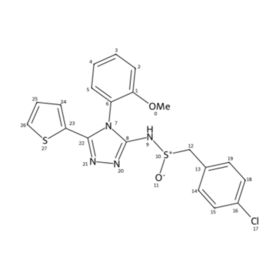 COc1ccccc1-n1c(N[S+]([O-])Cc2ccc(Cl)cc2)nnc1-c1cccs1